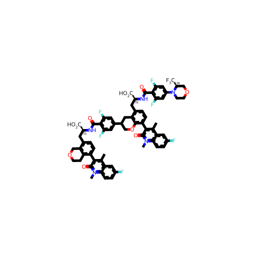 Cc1c(-c2ccc(C[C@H](NC(=O)c3c(F)cc(C4COc5c(-c6c(C)c7cc(F)ccc7n(C)c6=O)ccc(C[C@H](NC(=O)c6c(F)cc(N7CCOC[C@@H]7C(F)(F)F)cc6F)C(=O)O)c5C4)cc3F)C(=O)O)c3c2CCOC3)c(=O)n(C)c2ccc(F)cc12